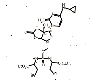 C=C1N=C(NC2CC2)C=CN1[C@@H]1O[C@H](COP(=O)(NC(CC(C)C)C(=O)OCC)NC(CC(C)C)C(=O)OCC)C2OC(=O)O[C@@]21C